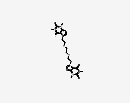 Cn1c(=O)c2c(ncn2CCOCCOCCn2cnc3c2c(=O)n(C)c(=O)n3C)n(C)c1=O